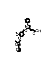 COc1cc(COc2nn(-c3ccccc3)cc2C=CC(=O)O)ccc1OCc1nc(-c2ccco2)oc1C